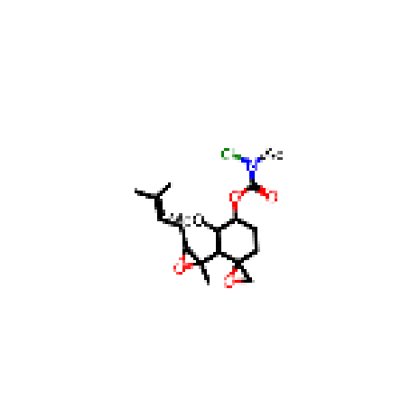 COC1C(OC(=O)N(Cl)C(C)=O)CCC2(CO2)C1C1(C)OC1CC=C(C)C